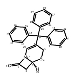 O=C1C[C@H]2SCC(C(c3ccccc3)(c3ccccc3)c3ccccc3)=CN12